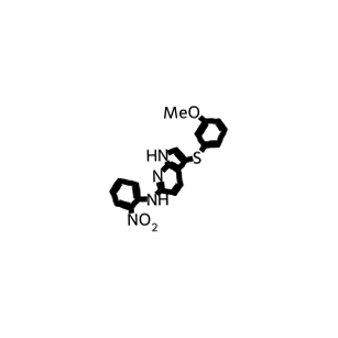 COc1cccc(Sc2c[nH]c3nc(Nc4ccccc4[N+](=O)[O-])ccc23)c1